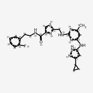 Cc1cc(Nc2cc(C3CC3)n[nH]2)nc(NCc2nc(C(=O)NCCc3ccccc3F)cs2)n1